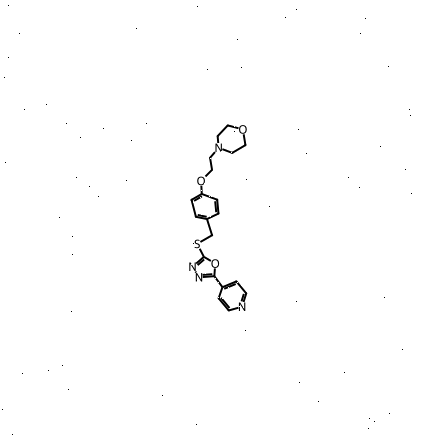 c1cc(-c2nnc(SCc3ccc(OCCN4CCOCC4)cc3)o2)ccn1